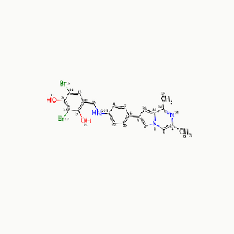 Cc1cn2cc(-c3ccc(NCc4cc(Br)c(O)c(Br)c4O)cc3)cc2c(C)n1